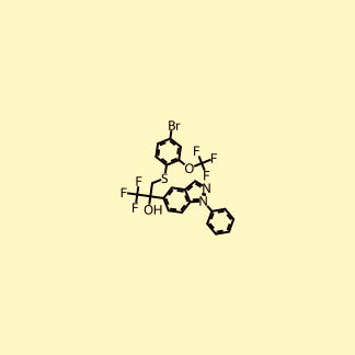 OC(CSc1ccc(Br)cc1OC(F)(F)F)(c1ccc2c(cnn2-c2ccccc2)c1)C(F)(F)F